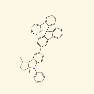 CC1CCC2(C)C1c1cc(-c3ccc4c(c3)-c3ccccc3C43c4ccccc4-c4ccccc43)ccc1N2c1ccccc1